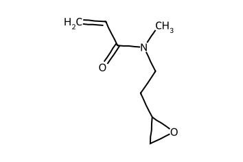 C=CC(=O)N(C)CCC1CO1